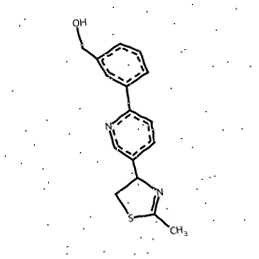 CC1=NC(c2ccc(-c3cccc(CO)c3)nc2)CS1